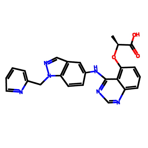 C[C@H](Oc1cccc2ncnc(Nc3ccc4c(cnn4Cc4ccccn4)c3)c12)C(=O)O